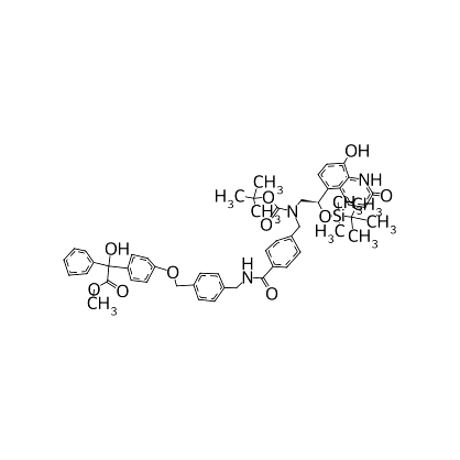 COC(=O)C(O)(c1ccccc1)c1ccc(OCc2ccc(CNC(=O)c3ccc(CN(C[C@H](O[Si](C)(C)C(C)(C)C)c4ccc(O)c5[nH]c(=O)ccc45)C(=O)OC(C)(C)C)cc3)cc2)cc1